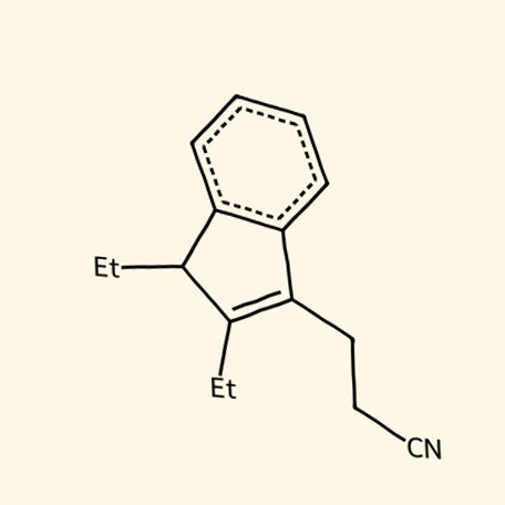 CCC1=C(CCC#N)c2ccccc2C1CC